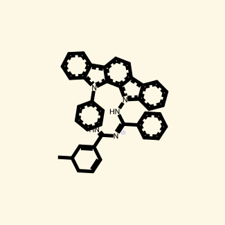 CC1C=C(C(=N)/N=C(\Nn2c3ccccc3c3ccc4c5ccccc5n(-c5ccccc5)c4c32)c2ccccc2)C=CC1